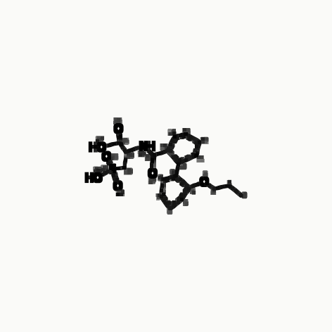 CCCOc1ccccc1-c1ccccc1C(=O)NC(CS(=O)(=O)O)C(=O)O